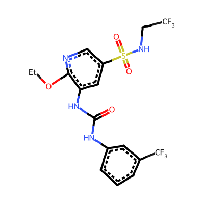 CCOc1ncc(S(=O)(=O)NCC(F)(F)F)cc1NC(=O)Nc1cccc(C(F)(F)F)c1